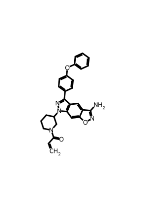 C=CC(=O)N1CCCC(n2nc(-c3ccc(Oc4ccccc4)cc3)c3cc4c(N)noc4cc32)C1